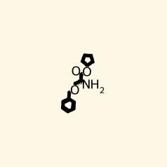 N[C@@H](COCc1ccccc1)C(=O)OC1CCCC1